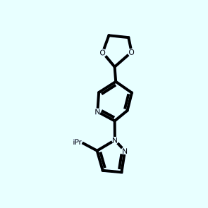 CC(C)c1ccnn1-c1ccc(C2OCCO2)cn1